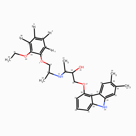 [2H]c1c([2H])c([2H])c(OCC(C)NC(C)C(O)COc2cccc3[nH]c4cc(C)c(C)cc4c23)c(OCC)c1[2H]